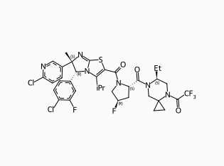 CC[C@H]1CN(C(=O)C(F)(F)F)C2(CC2)CN1C(=O)[C@@H]1C[C@@H](F)CN1C(=O)C1=C(C(C)C)N2C(=N[C@@](C)(c3ccc(Cl)nc3)[C@H]2c2ccc(Cl)c(F)c2)S1